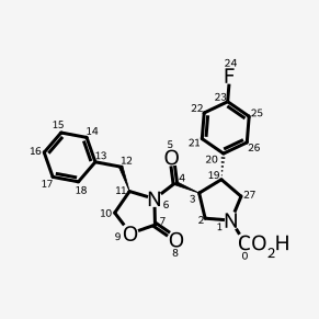 O=C(O)N1C[C@@H](C(=O)N2C(=O)OC[C@H]2Cc2ccccc2)[C@H](c2ccc(F)cc2)C1